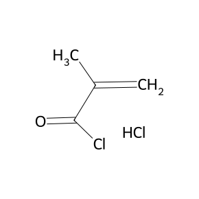 C=C(C)C(=O)Cl.Cl